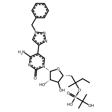 CCC(C)(C[C@H]1O[C@@H](n2cc(-c3cn(Cc4ccccc4)nn3)c(N)nc2=O)[C@@H](O)C1O)OP(=O)(O)C(C)(C)O